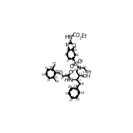 CCOC(=O)Nc1nc2ccc(S(=O)(=O)N(CC(C)C)CC(O)C(Cc3ccccc3)NC(=O)COc3c(C)cccc3C)cc2o1